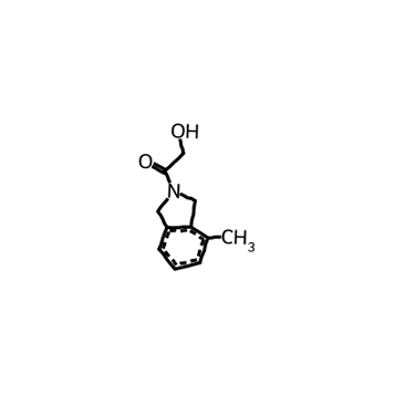 Cc1cccc2c1CN(C(=O)CO)C2